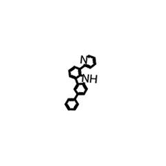 c1ccc(-c2ccc3[nH]c4c(-c5ccccn5)cccc4c3c2)cc1